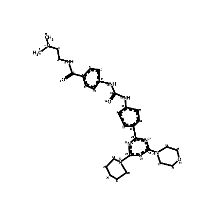 CN(C)CCNC(=O)c1ccc(NC(=O)Nc2ccc(-c3nc(N4CCCCC4)nc(N4CCOCC4)n3)cc2)cc1